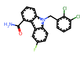 NC(=O)c1cccc2c1c1[c]c(F)ccc1n2Cc1cccc(Cl)c1Cl